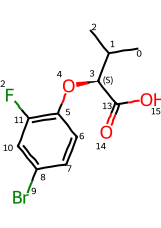 CC(C)[C@H](Oc1ccc(Br)cc1F)C(=O)O